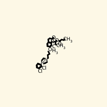 CCCC(=O)OC(C(C)C)N1C(=O)CCc2ccc(OCCCCN3CCN(c4cccc(Cl)c4Cl)CC3)cc21